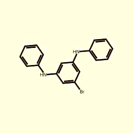 Brc1cc(Nc2ccccc2)cc(Nc2ccccc2)c1